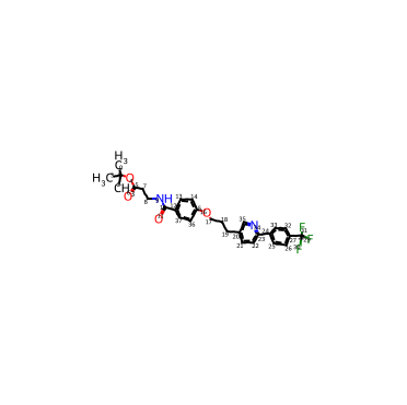 CC(C)(C)OC(=O)CCNC(=O)c1ccc(OCCCc2ccc(-c3ccc(C(F)(F)F)cc3)nc2)cc1